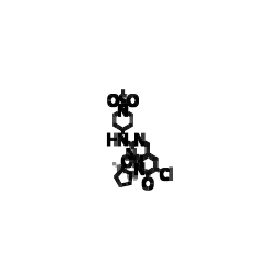 C[C@@]1(O)CCC[C@H]1n1c(=O)c(Cl)cc2cnc(NC3CCN(S(C)(=O)=O)CC3)nc21